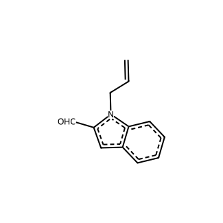 C=CCn1c(C=O)cc2ccccc21